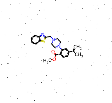 C=C(C)c1ccc(C(=O)OC)c(N2CCN(Cc3nc4ccccc4s3)CC2)c1